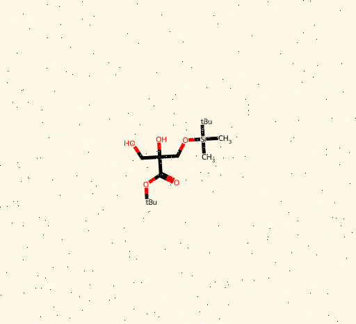 CC(C)(C)OC(=O)C(O)(CO)CO[Si](C)(C)C(C)(C)C